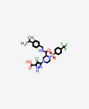 CC(C)c1ccc(CNC(=O)C2CN(c3n[nH]c(C(=O)O)c3Cl)CCN2S(=O)(=O)c2ccc(C(F)(F)F)cc2)cc1